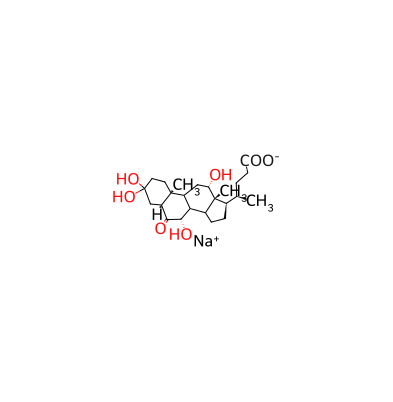 C[C@H](CCC(=O)[O-])[C@H]1CCC2C3C(C[C@H](O)[C@@]21C)[C@@]1(C)CCC(O)(O)C[C@H]1C(=O)[C@H]3O.[Na+]